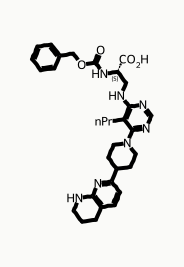 CCCc1c(NC[C@H](NC(=O)OCc2ccccc2)C(=O)O)ncnc1N1CCC(c2ccc3c(n2)NCCC3)CC1